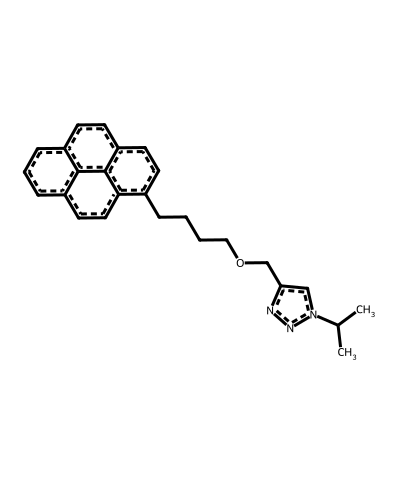 CC(C)n1cc(COCCCCc2ccc3ccc4cccc5ccc2c3c45)nn1